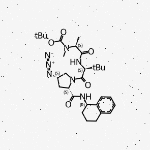 C[C@@H](C(=O)N[C@H](C(=O)N1C[C@@H](N=[N+]=[N-])C[C@H]1C(=O)N[C@@H]1CCCc2ccccc21)C(C)(C)C)N(C)C(=O)OC(C)(C)C